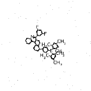 Cc1cc(C)c(B(c2ccc(-c3cccc4c3ccc3c(-c5cc(F)cc(F)c5)nc5ccccc5c34)cc2)c2c(C)cc(C)cc2C)c(C)c1